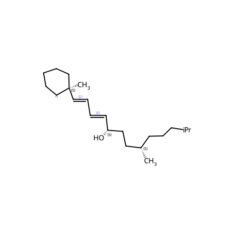 CC(C)CCC[C@H](C)CC[C@H](O)/C=C/C=C/[C@@]1(C)[C]CCCC1